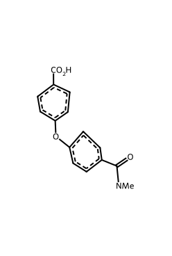 CNC(=O)c1ccc(Oc2ccc(C(=O)O)cc2)cc1